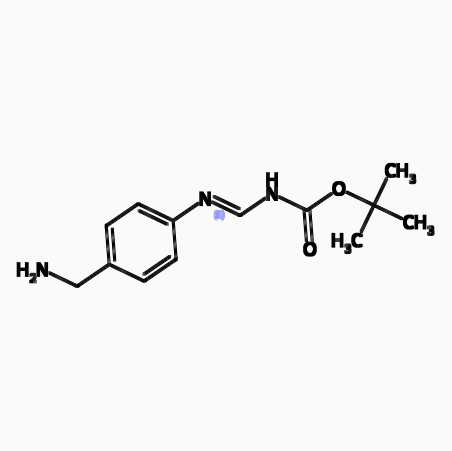 CC(C)(C)OC(=O)N/C=N/c1ccc(CN)cc1